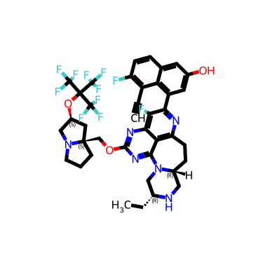 C#Cc1c(F)ccc2cc(O)cc(-c3nc4c5c(nc(OC[C@@]67CCCN6C[C@@H](OC(C(F)(F)F)(C(F)(F)F)C(F)(F)F)C7)nc5c3F)N3C[C@@H](CC)NC[C@H]3CC4)c12